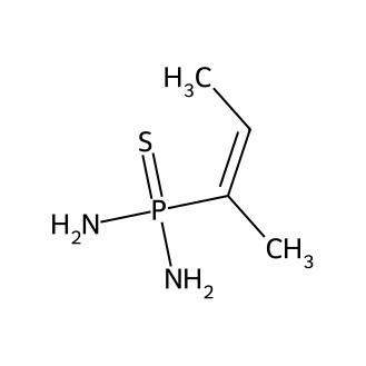 CC=C(C)P(N)(N)=S